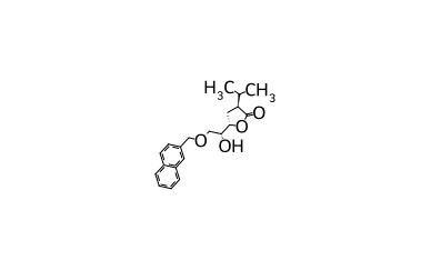 CC(C)[C@@H]1C[C@@H]([C@H](O)COCc2ccc3ccccc3c2)OC1=O